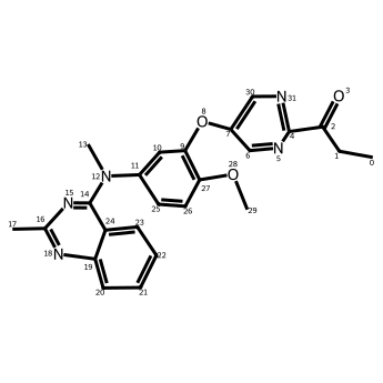 CCC(=O)c1ncc(Oc2cc(N(C)c3nc(C)nc4ccccc34)ccc2OC)cn1